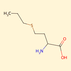 CCCSCCC(N)C(=O)O